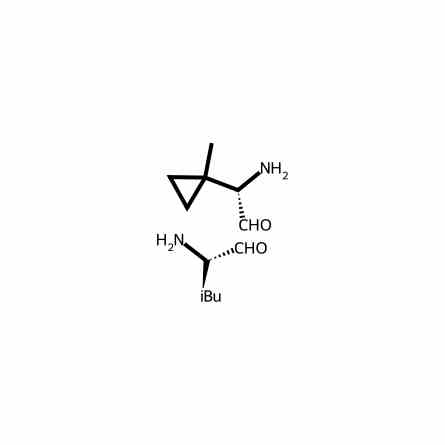 CC1([C@H](N)C=O)CC1.CC[C@H](C)[C@H](N)C=O